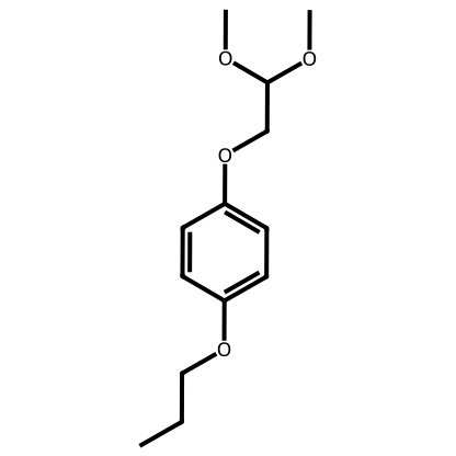 CCCOc1ccc(OCC(OC)OC)cc1